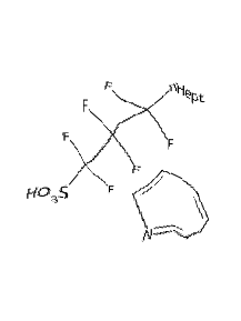 CCCCCCCC(F)(F)C(F)(F)C(F)(F)S(=O)(=O)O.c1ccncc1